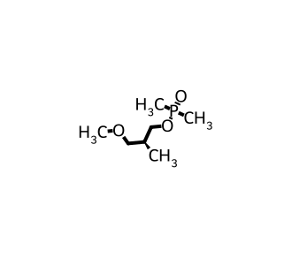 COC[C@H](C)COP(C)(C)=O